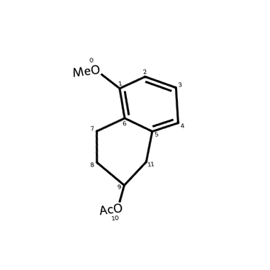 COc1cccc2c1CCC(OC(C)=O)C2